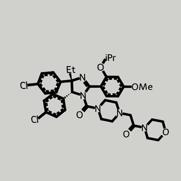 CC[C@@]1(c2ccc(Cl)cc2)N=C(c2ccc(OC)cc2OC(C)C)N(C(=O)N2CCN(CC(=O)N3CCOCC3)CC2)[C@@H]1c1ccc(Cl)cc1